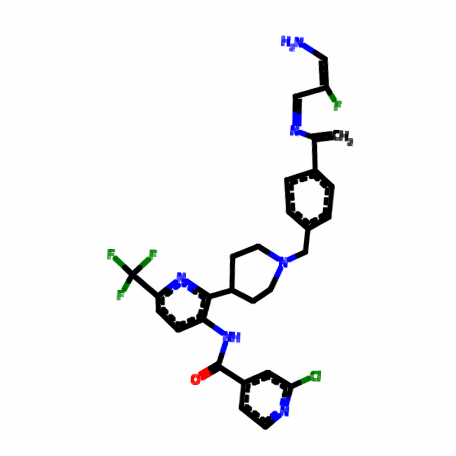 C=C(/N=C\C(F)=C/N)c1ccc(CN2CCC(c3nc(C(F)(F)F)ccc3NC(=O)c3ccnc(Cl)c3)CC2)cc1